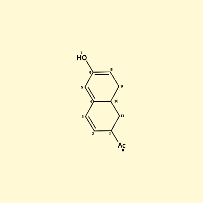 CC(=O)C1C=CC2=CC(O)=CCC2C1